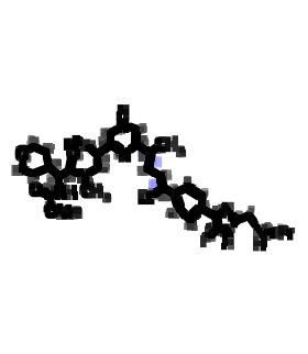 CCCNCc1nc(-c2ccc(/C(=C/C=C(\C)C3=CNCC(C(CCC)CN(C)C(=O)C(NC(=O)OC)C4CCOCC4)=N3)CC)cc2)c(F)[nH]1